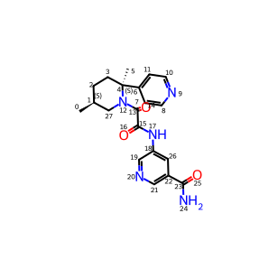 C[C@H]1CC[C@@](C)(c2ccncc2)N(C(=O)C(=O)Nc2cncc(C(N)=O)c2)C1